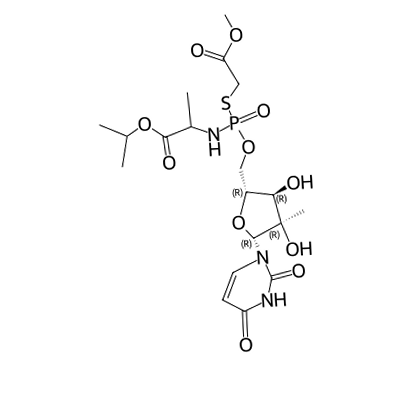 COC(=O)CSP(=O)(NC(C)C(=O)OC(C)C)OC[C@H]1O[C@@H](n2ccc(=O)[nH]c2=O)[C@](C)(O)[C@@H]1O